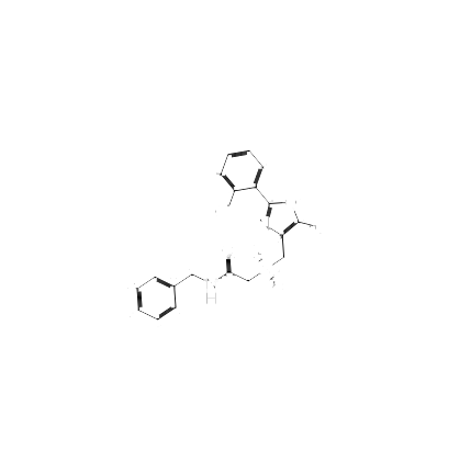 Cc1oc(-c2ccccc2Cl)nc1CS(=O)(=O)CC(=O)NCc1ccccc1